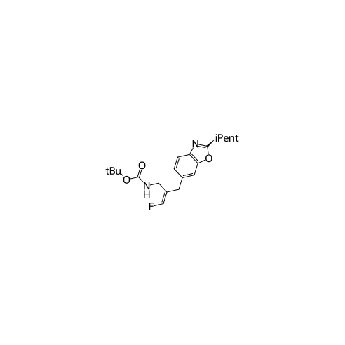 CCC[C@H](C)c1nc2ccc(C/C(=C/F)CNC(=O)OC(C)(C)C)cc2o1